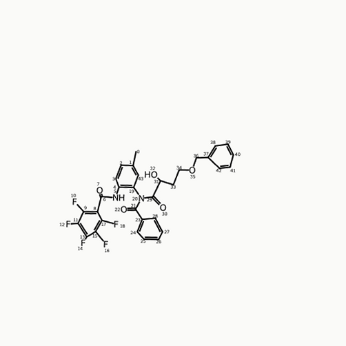 Cc1ccc(NC(=O)c2c(F)c(F)c(F)c(F)c2F)c(N(C(=O)c2ccccc2)C(=O)C(O)CCOCc2ccccc2)c1